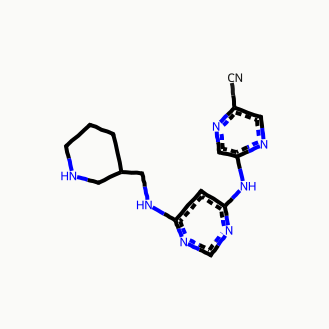 N#Cc1cnc(Nc2cc(NCC3CCCNC3)ncn2)cn1